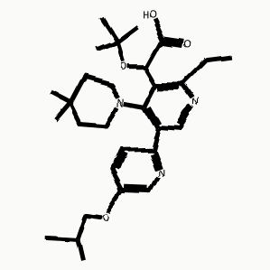 CCc1ncc(-c2ccc(OCC(C)C)cn2)c(N2CCC(C)(C)CC2)c1C(OC(C)(C)C)C(=O)O